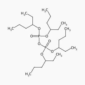 CCCC(CC)OP(=O)(OC(CC)CCC)OP(=O)(OC(CC)CCC)OC(CC)CCC